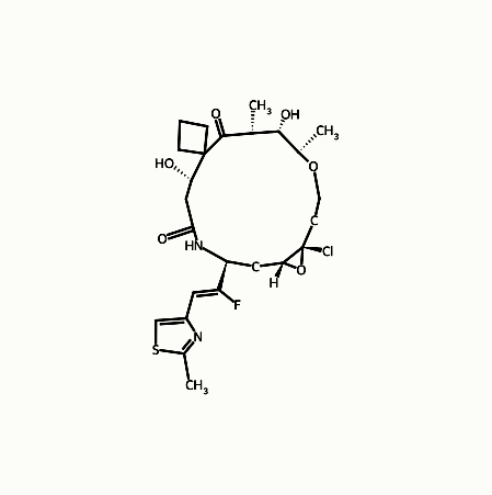 Cc1nc(C=C(F)[C@@H]2C[C@H]3O[C@@]3(Cl)CCO[C@@H](C)[C@@H](O)[C@@H](C)C(=O)C3(CCC3)[C@@H](O)CC(=O)N2)cs1